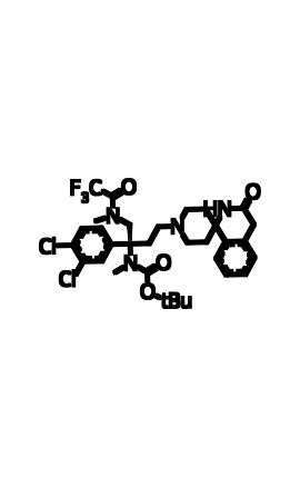 CN(C[C@](CCN1CCC2(CC1)NC(=O)Cc1ccccc12)(c1ccc(Cl)c(Cl)c1)N(C)C(=O)OC(C)(C)C)C(=O)C(F)(F)F